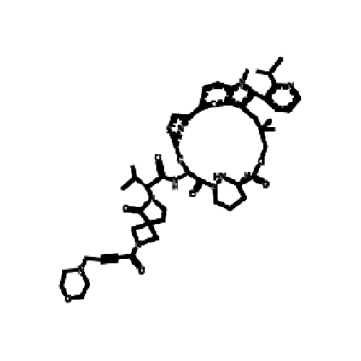 CC(C)c1ncccc1-c1c2c3cc(ccc3n1C)-c1csc(n1)C[C@H](NC(=O)[C@H](C(C)C)N1CCC3(CN(C(=O)C#CCN4CCOCC4)C3)C1=O)C(=O)N1CCC[C@H](N1)C(=O)OCC(C)(C)C2